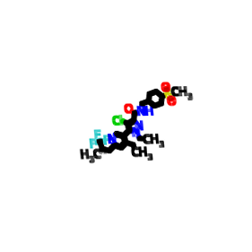 CCc1cc(C[C@@H](C)C(F)(F)F)ncc1-c1c(Cl)c(C(=O)NCC2CCC(S(C)(=O)=O)CC2)nn1CC